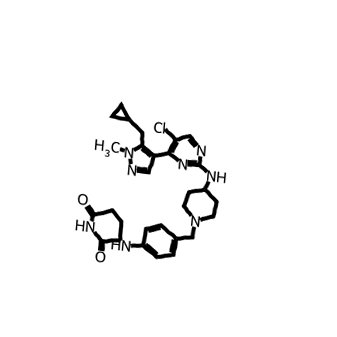 Cn1ncc(-c2nc(NC3CCN(Cc4ccc(NC5CCC(=O)NC5=O)cc4)CC3)ncc2Cl)c1CC1CC1